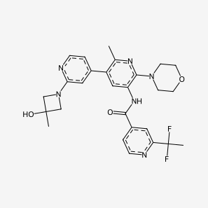 Cc1nc(N2CCOCC2)c(NC(=O)c2ccnc(C(C)(F)F)c2)cc1-c1ccnc(N2CC(C)(O)C2)c1